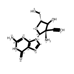 C#C[C@@]1(N)C(O)[C@@H](CO)O[C@H]1n1cnc2c(=O)[nH]c(N)nc21